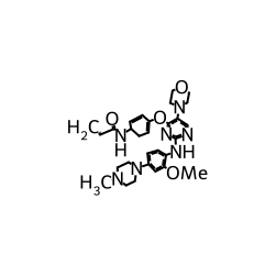 C=CC(=O)NC1C=CC(Oc2nc(Nc3ccc(N4CCN(C)CC4)cc3OC)ncc2N2CCOCC2)=CC1